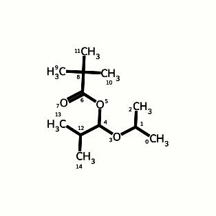 CC(C)OC(OC(=O)C(C)(C)C)C(C)C